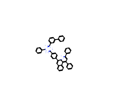 c1ccc(-c2cccc(-c3nc(-c4ccccc4)nc(-c4ccc(-c5cc6ccccc6c6c(-c7ccccc7)cc(-c7ccccc7)nc56)cc4)n3)c2)cc1